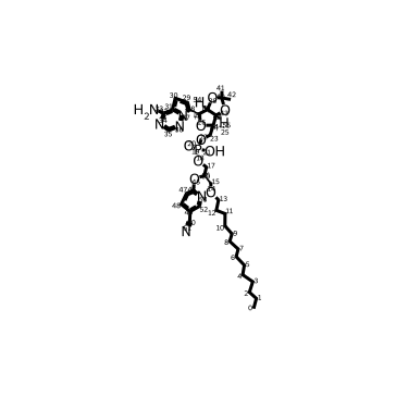 CCCCCCCCCCCCCCOC[C@H](COP(=O)(O)OC[C@@]1(C)O[C@@H](c2ccc3c(N)ncnn23)[C@@H]2OC(C)(C)O[C@@H]21)Oc1ccc(C#N)cn1